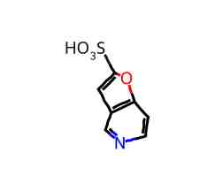 O=S(=O)(O)c1cc2cnccc2o1